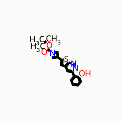 CC(C)(C)OC(=O)N1CC(c2cc3cc(-c4ccccc4O)nnc3s2)C1